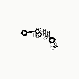 O=C(Nc1ccc(OC(F)(F)F)cc1)N[C@H]1CO[C@H]2[C@@H]1OC[C@@H]2C#Cc1ccccc1